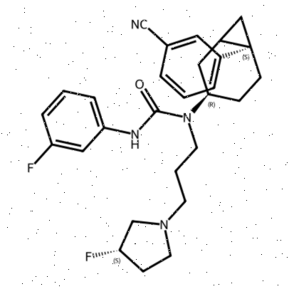 N#Cc1cccc([C@]23CC[C@@H](N(CCCN4CC[C@H](F)C4)C(=O)Nc4cccc(F)c4)CC2C3)c1